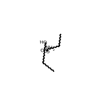 CCCCCCCC/C=C\CCCCCCCC(=O)N(CC(N)CCO)C(=O)CCCCCCC/C=C\CCCCCCCC